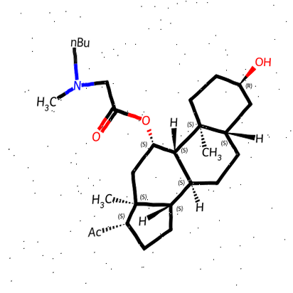 CCCCN(C)CC(=O)O[C@H]1C[C@]2(C)[C@@H](C(C)=O)CC[C@H]2[C@@H]2CC[C@H]3C[C@H](O)CC[C@]3(C)[C@H]21